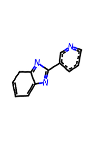 C1=CCC2=NC(c3cccnc3)=NC2=C1